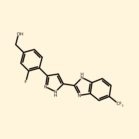 OCc1ccc(-c2cc(-c3nc4cc(C(F)(F)F)ccc4[nH]3)[nH]n2)c(F)c1